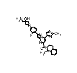 C[C@@H]1c2ccccc2CCN1C(=O)c1cc(-c2cnn(C)n2)n2nc(-c3ccc(N4CC(O)(CN)C4)cc3F)cc2n1